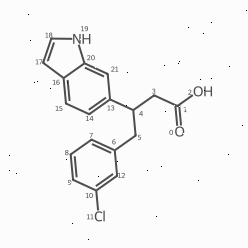 O=C(O)CC(Cc1cccc(Cl)c1)c1ccc2cc[nH]c2c1